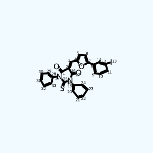 O=C1C(=Cc2ccc(-c3cccc(I)c3)o2)C(=O)N(c2ccccc2)C(=S)N1c1ccccc1